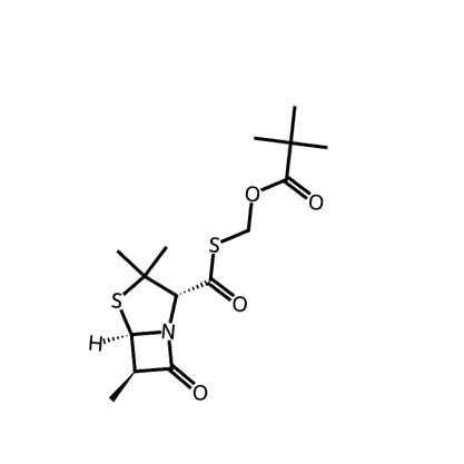 C[C@@H]1C(=O)N2[C@@H]1SC(C)(C)[C@@H]2C(=O)SCOC(=O)C(C)(C)C